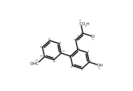 CC/C(=C\c1cc(O)ccc1-c1cccc(C=O)c1)C(=O)O